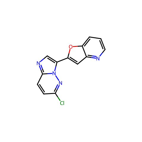 Clc1ccc2ncc(-c3cc4ncccc4o3)n2n1